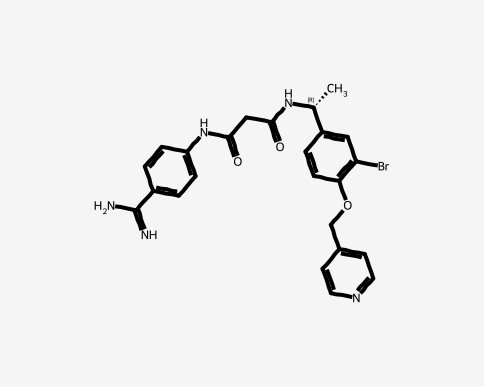 C[C@@H](NC(=O)CC(=O)Nc1ccc(C(=N)N)cc1)c1ccc(OCc2ccncc2)c(Br)c1